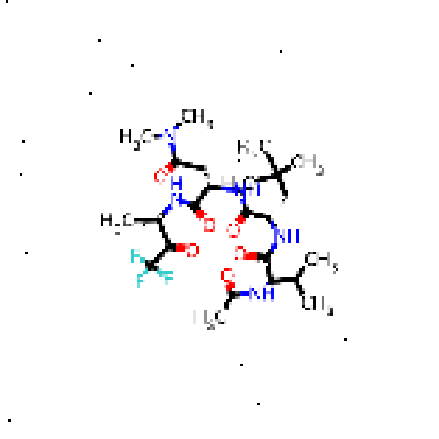 CC(=O)N[C@H](C(=O)N[C@@H](CC(C)(C)C)C(=O)N[C@@H](CC(=O)N(C)C)C(=O)NC(C)C(=O)C(F)(F)F)C(C)C